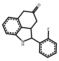 O=C1Cc2cccc3c2C(C1)C(c1ccccc1F)N3